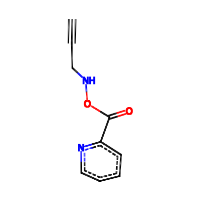 C#CCNOC(=O)c1ccccn1